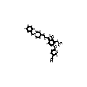 CN(C)Cc1c(Oc2ccc(C#N)cn2)ccc2c(CCC3CCN(Cc4ccccc4)CC3)noc12